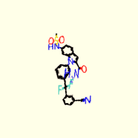 CS(=O)(=O)Nc1ccc2cc(C(N)=O)n(-c3cccc(C(F)(F)c4cccc(C#N)c4)c3)c2c1